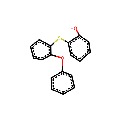 Oc1ccccc1Sc1ccccc1Oc1ccccc1